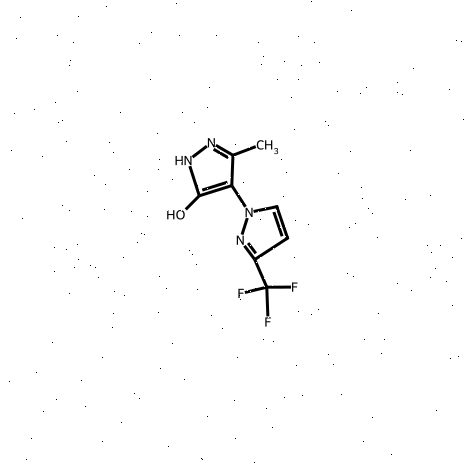 Cc1n[nH]c(O)c1-n1ccc(C(F)(F)F)n1